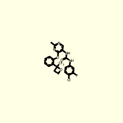 Cc1ncc(NC(=O)Nc2ccc(Cl)c(F)c2)c(Oc2ccccc2C2(C(F)(F)F)CCO2)n1